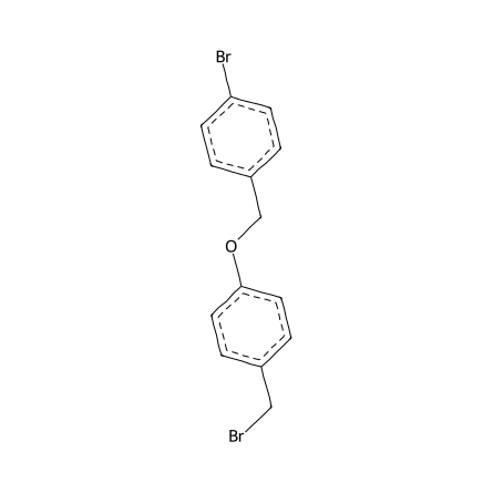 BrCc1ccc(OCc2ccc(Br)cc2)cc1